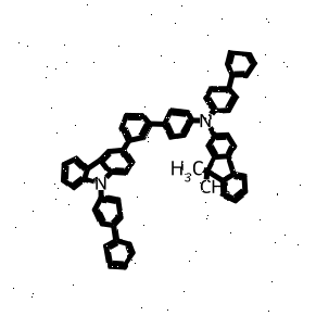 CC1(C)c2ccccc2-c2ccc(N(c3ccc(-c4ccccc4)cc3)c3ccc(-c4cccc(-c5ccc6c(c5)c5ccccc5n6-c5ccc(-c6ccccc6)cc5)c4)cc3)cc21